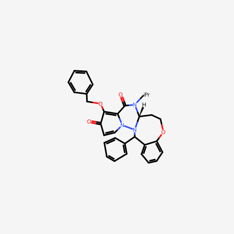 CC(C)N1C(=O)c2c(OCc3ccccc3)c(=O)ccn2N2C(c3ccccc3)c3ccccc3OCC[C@@H]12